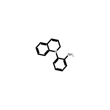 Nc1ccccc1N1CC=Cc2ccccc21